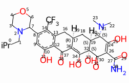 CC(C)CN1CCOCC1c1cc(O)c2c(c1C(F)(F)F)C[C@H]1C[C@H]3[C@H](N(C)C)C(O)=C(C(N)=O)C(=O)[C@@]3(O)C(O)=C1C2=O